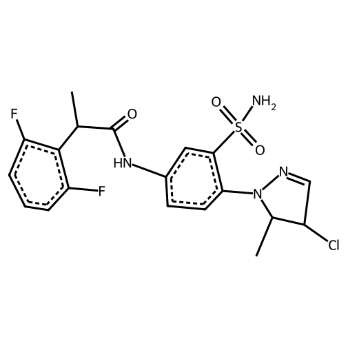 CC(C(=O)Nc1ccc(N2N=CC(Cl)C2C)c(S(N)(=O)=O)c1)c1c(F)cccc1F